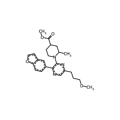 COCCCc1cnc(-c2ccc3occc3c2)c(N2CCC(C(=O)OC)CC2C)n1